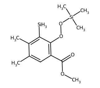 COC(=O)c1cc(C)c(C)c([SiH3])c1OO[Si](C)(C)C